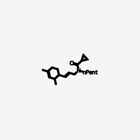 CCCCCN(C/C=C/C1CCC(C)=CC1C)C(=O)C1CC1